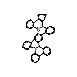 c1ccc2c(c1)B1c3cc4c(cc3-c3ccccc3N1c1ccccc1-2)N1B(c2ccccc2-c2ccccc21)c1ccccc1-4